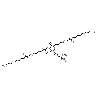 CCCCCCCCCC(=O)OCCCCCCOC(=O)CC(OC(=O)OCCN(C)C)C(=O)OCCCCCCOC(=O)CCCCCCCCC